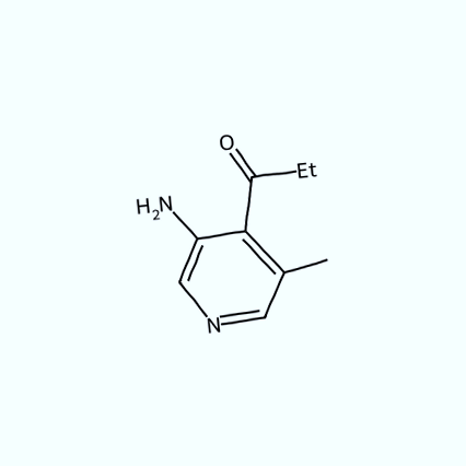 CCC(=O)c1c(C)cncc1N